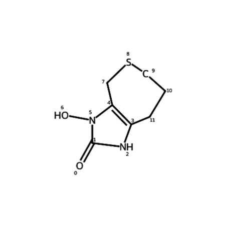 O=c1[nH]c2c(n1O)CSCCC2